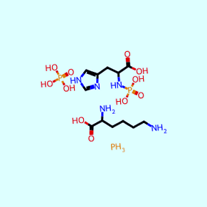 NCCCCC(N)C(=O)O.O=C(O)C(Cc1c[nH]cn1)NP(=O)(O)O.O=P(O)(O)O.P